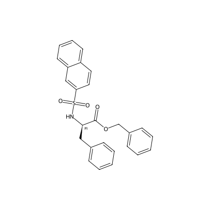 O=C(OCc1ccccc1)[C@@H](Cc1ccccc1)NS(=O)(=O)c1ccc2ccccc2c1